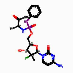 COC(=O)[C@@H](NP(=O)(OC[C@H]1O[C@@H](n2ccc(N)nc2=O)[C@](C)(F)[C@@H]1O)Pc1ccccc1)C(C)C